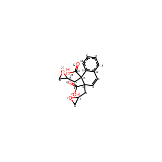 O=C(O)C1(CC2CO2)C=Cc2ccccc2C1(CC1CO1)C(=O)O